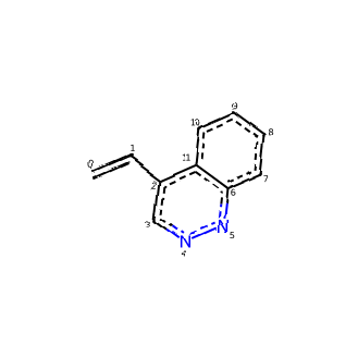 C=Cc1cnnc2ccccc12